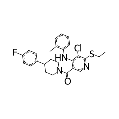 CCSc1ncc(C(=O)N2CCC(c3ccc(F)cc3)CC2)c(Nc2ccccc2C)c1Cl